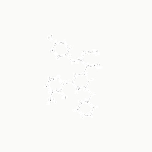 C=N/C(=C\c1ccc(F)cc1)C(=C)N1C=C(c2cccc(N)c2F)N=C(Cc2ccccc2)C1